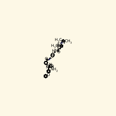 CC1=CC(C)=N/C1=C\c1ccc(CCC(=O)NCCN2CCN(C/C=C/C(=O)C3CCC[C@@H](n4nc(-c5ccc(Oc6ccccc6)cc5)c5c(N)ncnc54)C3)CC2)n1S(C)(F)F